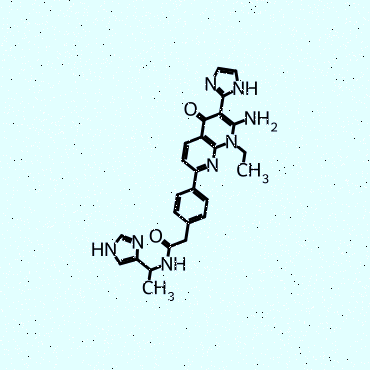 CCn1c(N)c(-c2ncc[nH]2)c(=O)c2ccc(-c3ccc(CC(=O)NC(C)c4c[nH]cn4)cc3)nc21